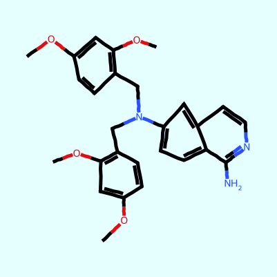 COc1ccc(CN(Cc2ccc(OC)cc2OC)c2ccc3c(N)nccc3c2)c(OC)c1